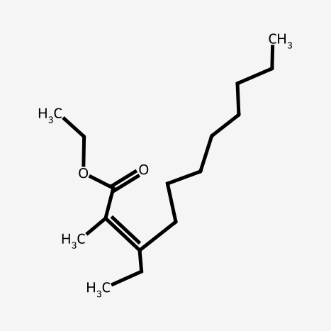 CCCCCCCCC(CC)=C(C)C(=O)OCC